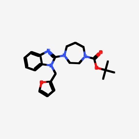 CC(C)(C)OC(=O)N1CCCN(c2nc3ccccc3n2Cc2ccco2)CC1